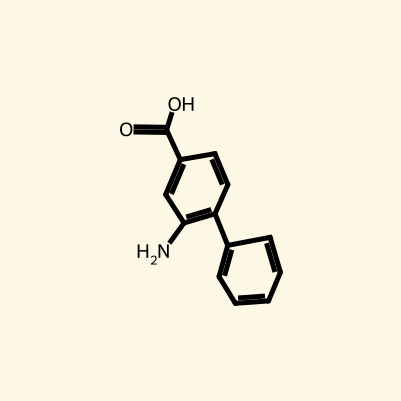 Nc1cc(C(=O)O)ccc1-c1ccccc1